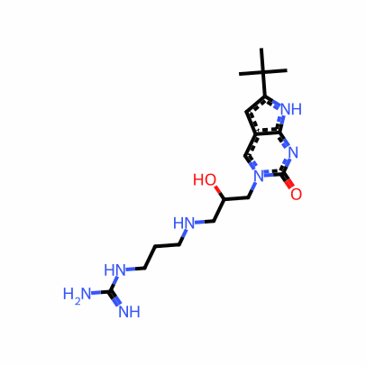 CC(C)(C)c1cc2cn(CC(O)CNCCCNC(=N)N)c(=O)nc2[nH]1